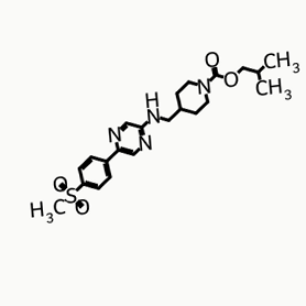 CC(C)COC(=O)N1CCC(CNc2cnc(-c3ccc(S(C)(=O)=O)cc3)cn2)CC1